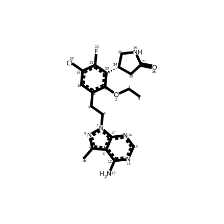 CCOc1c(CCn2nc(C)c3c(N)ncnc32)cc(Cl)c(F)c1[C@@H]1CNC(=O)C1